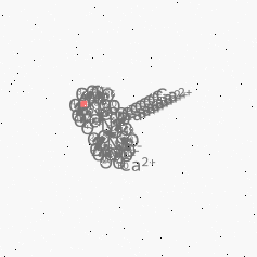 O=P([O-])([O-])C(N(CCN(C(P(=O)([O-])[O-])P(=O)([O-])[O-])C(P(=O)([O-])[O-])P(=O)([O-])[O-])CCN(C(P(=O)([O-])[O-])P(=O)([O-])[O-])C(P(=O)([O-])[O-])P(=O)([O-])[O-])P(=O)([O-])[O-].[Ca+2].[Ca+2].[Ca+2].[Ca+2].[Ca+2].[Ca+2].[Ca+2].[Ca+2].[Ca+2].[Ca+2]